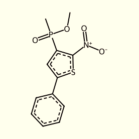 COP(C)(=O)c1cc(-c2ccccc2)sc1[N+](=O)[O-]